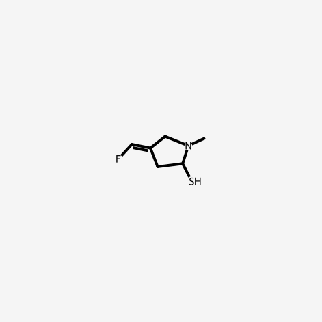 CN1C/C(=C/F)CC1S